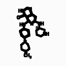 CN1CCN(c2ccc(Nc3nc(N[C@@H]4CCCNC4)cc4nc[nH]c(=O)c34)cc2)CC1